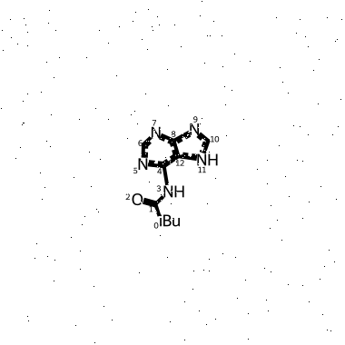 CCC(C)C(=O)Nc1ncnc2nc[nH]c12